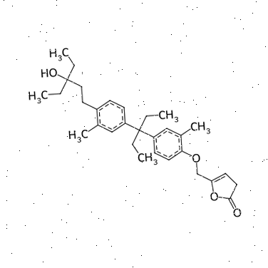 CCC(O)(CC)CCc1ccc(C(CC)(CC)c2ccc(OCC3=CCC(=O)O3)c(C)c2)cc1C